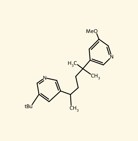 COc1cncc(C(C)(C)CCC(C)c2cncc(C(C)(C)C)c2)c1